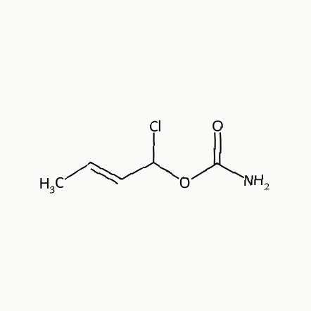 C/C=C/C(Cl)OC(N)=O